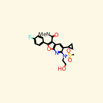 CNC(=O)c1c(-c2ccc(F)cc2)oc2nc(N(CCO)S(C)(=O)=O)c(C3CC3)cc12